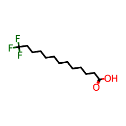 O=C(O)CCCCCCCCCCCC(F)(F)F